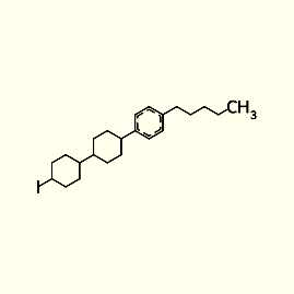 CCCCCc1ccc(C2CCC(C3CCC(I)CC3)CC2)cc1